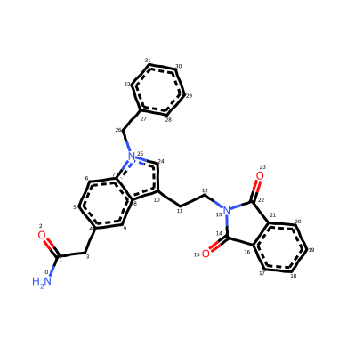 NC(=O)Cc1ccc2c(c1)c(CCN1C(=O)c3ccccc3C1=O)cn2Cc1ccccc1